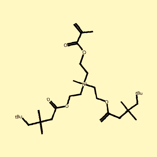 C=C(CC(C)(C)CC(C)(C)C)OCC[N+](C)(CCOC(=O)CC(C)(C)CC(C)(C)C)CCOC(=O)C(=C)C